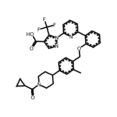 Cc1cc(C2CCN(C(=O)C3CC3)CC2)ccc1COc1ccccc1-c1cccc(-n2ncc(C(=O)O)c2C(F)(F)F)n1